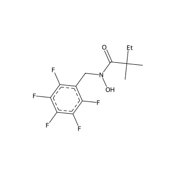 CCC(C)(C)C(=O)N(O)Cc1c(F)c(F)c(F)c(F)c1F